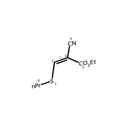 CCCS/C=C(/C#N)C(=O)OCC